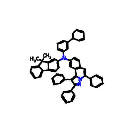 CC1(C)c2ccccc2-c2ccc(N(c3cccc(-c4ccccc4)c3)c3ccc4cc(-c5ccccc5)n5nc(-c6ccccc6)c(-c6ccccc6)c5c4c3)cc21